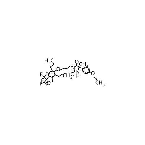 CCCOc1ccc(C2(C)NC(=O)N(CCCCOc3c(CCC)cc4c(c3CCC)COC4(C(F)(F)F)C(F)(F)F)C2=O)cc1